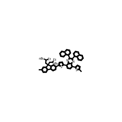 CCCCC(CC)CC1(CC(CC)CCCC)c2cc(C)ccc2-c2ccc(-c3ccc(-c4ccc(-c5ccc(C)s5)c5nc(-c6cccc7ccccc67)c(-c6cccc7ccccc67)nc45)s3)cc21